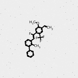 C=Cc1cc(C(F)(F)F)c(/C(F)=C/c2cccc(-c3ccccc3)c2C)cc1OC